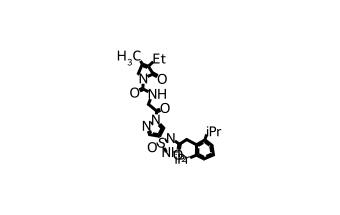 CCC1=C(C)CN(C(=O)NCC(=O)n2cc(S(N)(=O)=NC(=O)Cc3c(C(C)C)cccc3C(C)C)cn2)C1=O